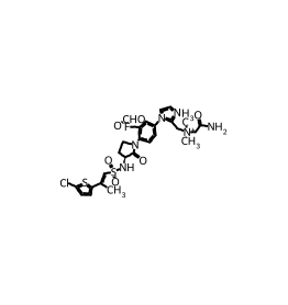 C/C(=C\S(=O)(=O)N[C@H]1CCN(c2ccc(-n3ccnc3C[N+](C)(C)CC(N)=O)cc2F)C1=O)c1ccc(Cl)s1.O=C[O-]